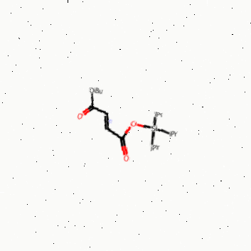 CC(C)COC(=O)/C=C/C(=O)O[Si](C(C)C)(C(C)C)C(C)C